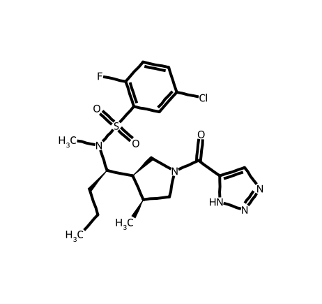 CCC[C@H]([C@H]1CN(C(=O)c2cnn[nH]2)C[C@H]1C)N(C)S(=O)(=O)c1cc(Cl)ccc1F